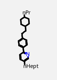 CCCCCCCc1ccc(-c2ccc(CCC3CCC(CCC)CC3)cc2)nc1